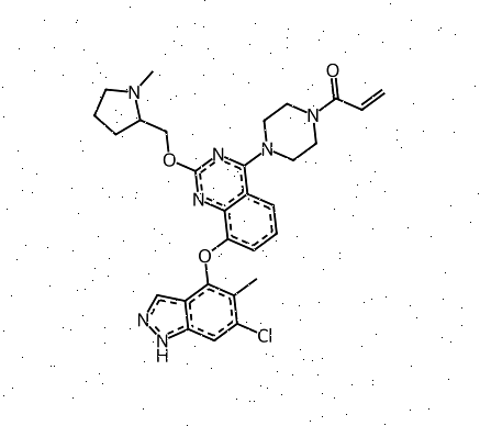 C=CC(=O)N1CCN(c2nc(OCC3CCCN3C)nc3c(Oc4c(C)c(Cl)cc5[nH]ncc45)cccc23)CC1